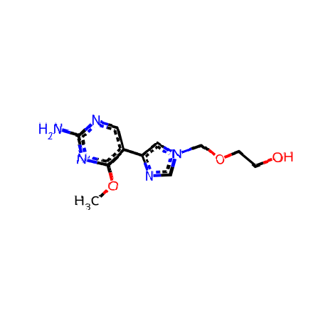 COc1nc(N)ncc1-c1cn(COCCO)cn1